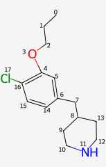 CCCOc1cc(CC2CCNCC2)ccc1Cl